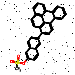 O=S(=O)(Oc1ccc2cc(-c3ccc4c5ccccc5c5cccc6ccc3c4c65)ccc2c1)C(F)(F)F